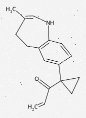 C=CC(=O)C1(c2ccc3c(c2)CCC(C)=CN3)CC1